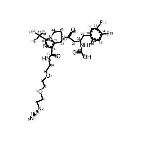 [N-]=[N+]=NCCOCCOCCNC(=O)c1nc(C(F)(F)F)n2c1CN(C(=O)C[C@@H](Cc1cc(F)c(F)cc1F)NC(=O)O)CC2